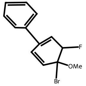 COC1(Br)C=CC(c2ccccc2)=CC1F